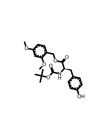 COc1ccc(COC(=O)[C@@H](Cc2ccc(O)cc2)NC(=O)OC(C)(C)C)c(OC)c1